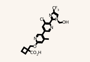 Cc1cc(OCC2(C(=O)O)CCC2)ncc1-c1cnc(-c2nc(C(F)(F)F)cn2CO)c(Cl)c1